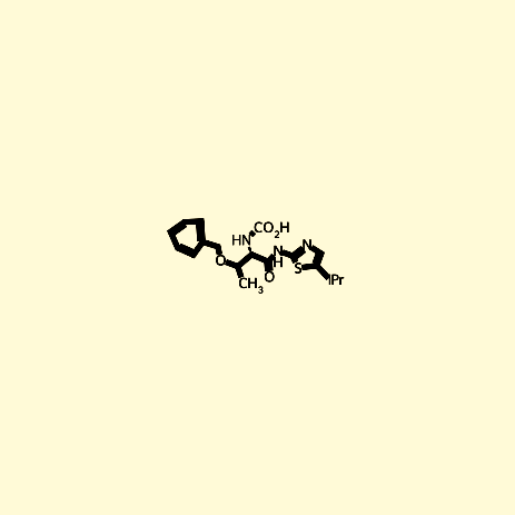 CC(C)c1cnc(NC(=O)[C@@H](NC(=O)O)C(C)OCc2ccccc2)s1